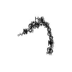 CCCCCn1cc(-c2cccc(C(=O)Nc3cc(NC(=O)c4ccc(CN5CCN(CCOCCOCCOCCn6cc(CCCC(=O)OC(C)CC)nn6)CC5)c(C(F)(F)F)c4)ccc3C)c2)cn1